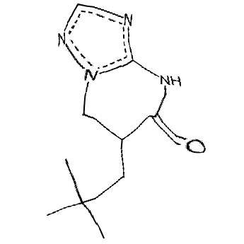 CC(C)(C)CC1Cn2ncnc2NC1=O